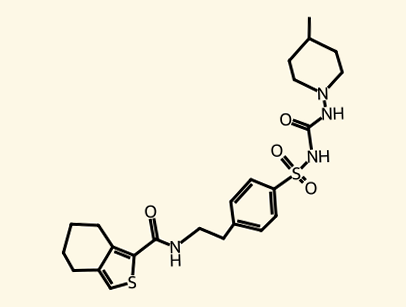 CC1CCN(NC(=O)NS(=O)(=O)c2ccc(CCNC(=O)c3scc4c3CCCC4)cc2)CC1